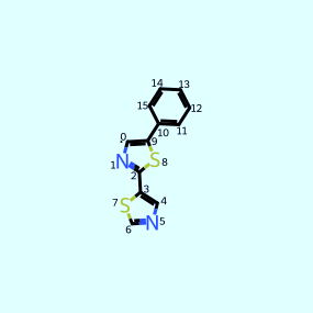 [c]1nc(-c2cncs2)sc1-c1ccccc1